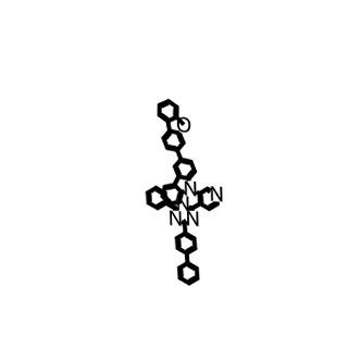 c1ccc(-c2ccc(-c3nc(-c4ccccc4)nc(-c4ccncc4-n4c5ccccc5c5cc(-c6ccc7c(c6)oc6ccccc67)ccc54)n3)cc2)cc1